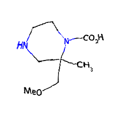 COCC1(C)CNCCN1C(=O)O